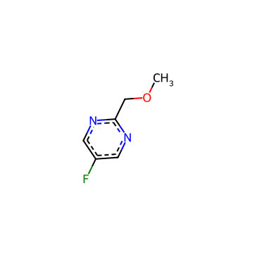 COCc1ncc(F)cn1